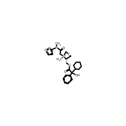 CN(C(=O)C[N+]1(C)CCC[C@@H]1COC(=O)C(O)(c1ccccc1)C1CCCCC1)c1ccon1